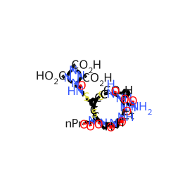 CCCOCC(=O)/N=C/C1CSCc2cc(CSCCNC(=O)CN3CCN(CC(=O)O)CCN(CC(=O)O)CCN(CC(=O)O)CC3)cc(c2)CSC[C@@H](C(=O)O)NC(=O)[C@H](Cc2ccccc2)NC(=O)[C@H](CCC(N)=O)NC(=O)[C@H](CC)NC(=O)[C@@H]2CCCN2C(=O)[C@@H]2CCCN2C1=O